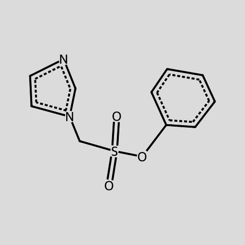 O=S(=O)(Cn1ccnc1)Oc1ccccc1